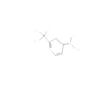 CN(C)c1ccnc(C(C)(C)C)c1